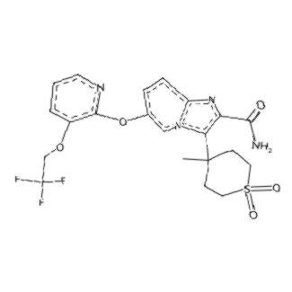 CC1(c2c(C(N)=O)nc3ccc(Oc4ncccc4OCC(F)(F)F)cn23)CCS(=O)(=O)CC1